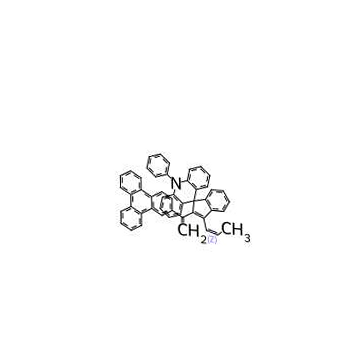 C=C(C1=C(/C=C\C)c2ccccc2C12c1ccccc1N(c1ccccc1)c1ccccc12)c1ccc2c3ccccc3c3ccccc3c2c1